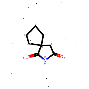 O=C1CC2(CCCC2)C(=O)N1